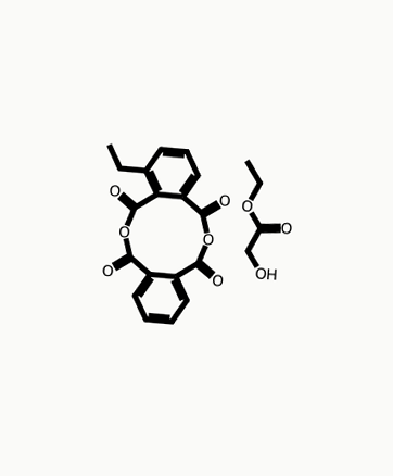 CCOC(=O)CO.CCc1cccc2c1C(=O)OC(=O)c1ccccc1C(=O)OC2=O